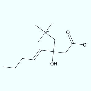 CCCC=CC(O)(CC(=O)[O-])C[N+](C)(C)C